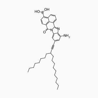 CCCCCCCCCCC(C#Cc1cc(N)c2nc3c4cccc5c(B(O)O)ccc(c(=O)n3c2c1)c54)CCCCCCCC